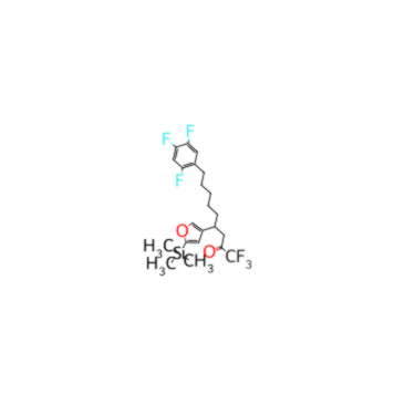 C[Si](C)(C)c1cc(C(CCCCCc2cc(F)c(F)cc2F)CC(=O)C(F)(F)F)co1